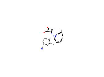 Cc1cc(C#N)ccc1Nc1c(N[C@H](C)c2ccccc2)c(=O)c1=O